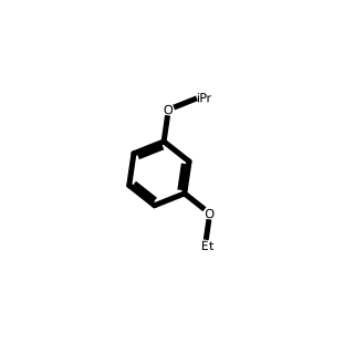 CCOc1cccc(OC(C)C)c1